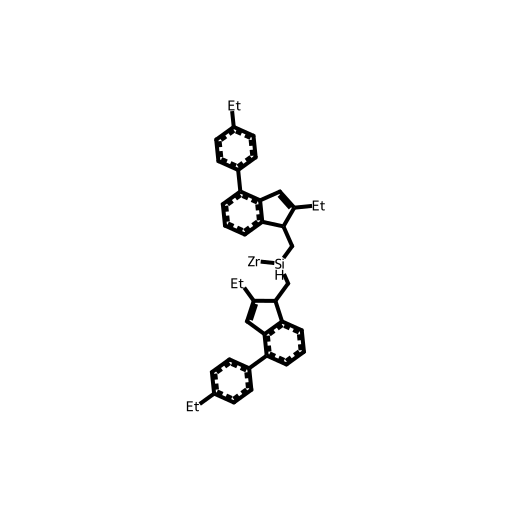 CCC1=Cc2c(-c3ccc(CC)cc3)cccc2C1C[SiH]([Zr])CC1C(CC)=Cc2c(-c3ccc(CC)cc3)cccc21